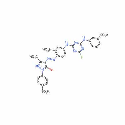 O=C(O)c1[nH]n(-c2ccc(S(=O)(=O)O)cc2)c(=O)c1N=Nc1ccc(Nc2nc(F)nc(Nc3cccc(S(=O)(=O)O)c3)n2)cc1S(=O)(=O)O